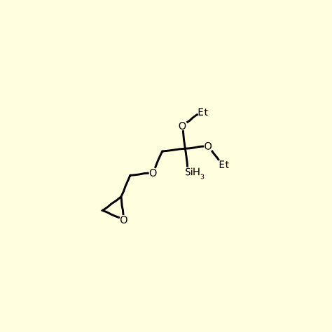 CCOC([SiH3])(COCC1CO1)OCC